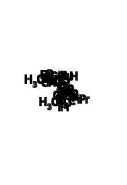 CCC(C)N[C@@](Cc1ccc(OC(=O)OC(C)C(C)C)c(OC(=O)OC(C)C(C)C)c1)(OC(=O)C(C)(C)CC)C(=O)O